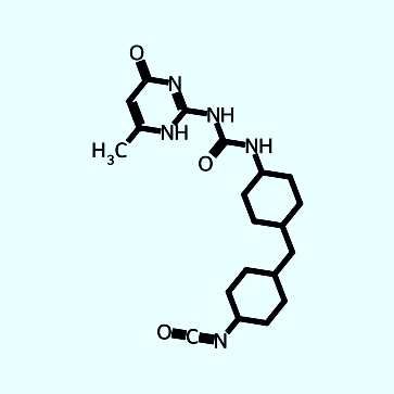 Cc1cc(=O)nc(NC(=O)NC2CCC(CC3CCC(N=C=O)CC3)CC2)[nH]1